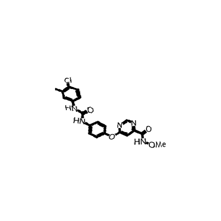 CONC(=O)c1cc(Oc2ccc(NC(=O)Nc3ccc(Cl)c(C)c3)cc2)ncn1